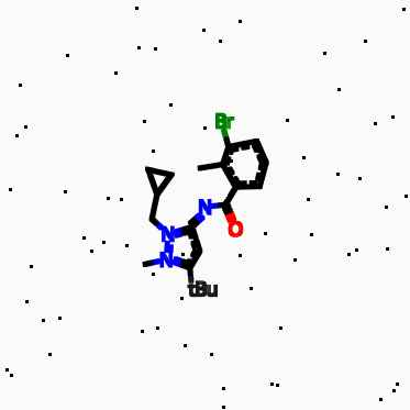 Cc1c(Br)cccc1C(=O)/N=c1\cc(C(C)(C)C)n(C)n1CC1CC1